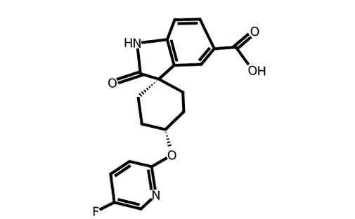 O=C(O)c1ccc2c(c1)[C@]1(CC[C@@H](Oc3ccc(F)cn3)CC1)C(=O)N2